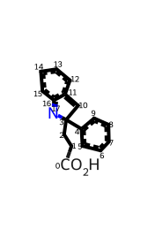 O=C(O)CCC1(c2ccccc2)C=c2ccccc2=N1